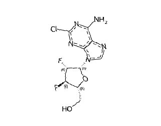 Nc1nc(Cl)nc2c1ncn2[C@@H]1O[C@H](CO)[C@@H](F)[C@@H]1F